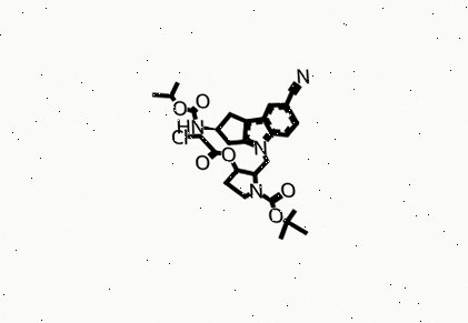 CC(C)OC(=O)N[C@H]1Cc2c(n(CC3C(OC(=O)CCl)CCN3C(=O)OC(C)(C)C)c3ccc(C#N)cc23)C1